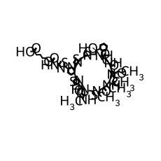 CNC(=O)C[C@@H]1NC(=O)c2csc(n2)-c2ccc(-c3nc(NC(=O)OCCCCC(=O)O)cs3)nc2-c2csc(n2)-c2csc(n2)[C@H]([C@@H](O)c2ccccc2)NC(=O)CNC(=O)c2nc(sc2COC)[C@@H](C(C)C)NC(=O)c2nc1sc2C